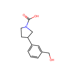 O=C(O)N1CCC(c2cccc(CO)c2)C1